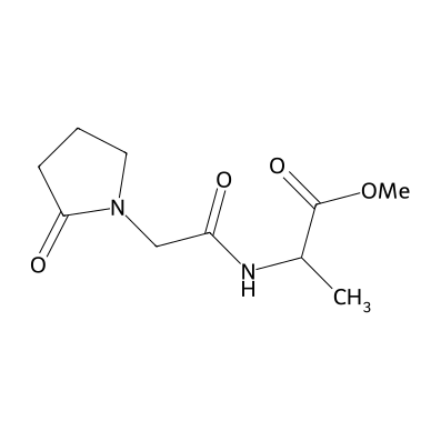 COC(=O)C(C)NC(=O)CN1CCCC1=O